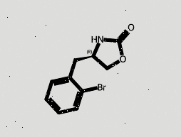 O=C1N[C@H](Cc2ccccc2Br)CO1